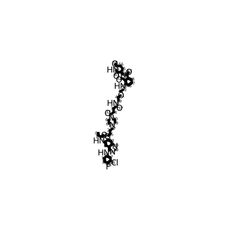 C=CC(=O)Nc1cc2c(Nc3ccc(F)c(Cl)c3)ncnc2cc1OCCCN1CCN(C(=O)CCC(=O)NCCOCCNc2cccc3c2C(=O)N(C2CCC(=O)NC2=O)C3=O)CC1